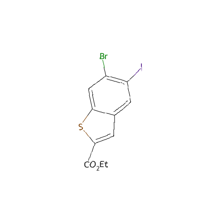 CCOC(=O)c1cc2cc(I)c(Br)cc2s1